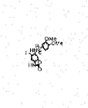 COc1ccc(S(=O)(=O)Nc2cc3oc(=O)[nH]c3cc2Cl)cc1OC